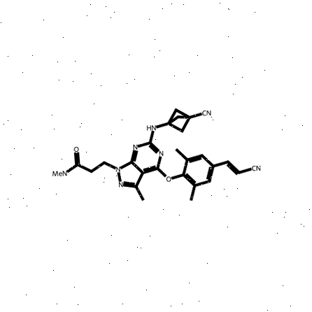 CNC(=O)CCn1nc(C)c2c(Oc3c(C)cc(/C=C/C#N)cc3C)nc(NC34CC(C#N)(C3)C4)nc21